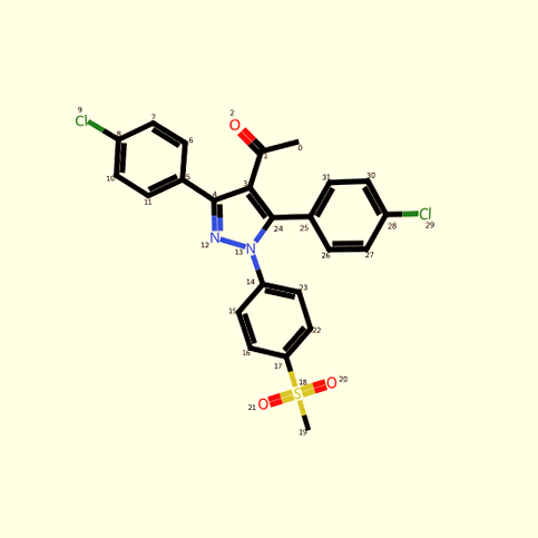 CC(=O)c1c(-c2ccc(Cl)cc2)nn(-c2ccc(S(C)(=O)=O)cc2)c1-c1ccc(Cl)cc1